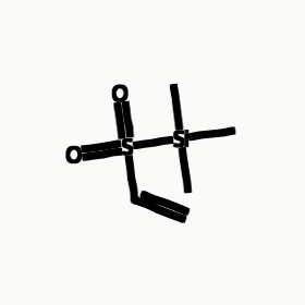 C=CS(=O)(=O)[Si](C)(C)C